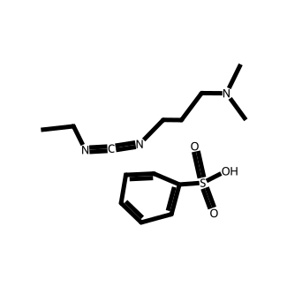 CCN=C=NCCCN(C)C.O=S(=O)(O)c1ccccc1